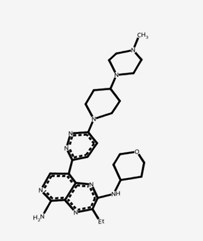 CCc1nc2c(N)ncc(-c3ccc(N4CCC(N5CCN(C)CC5)CC4)nn3)c2nc1NC1CCOCC1